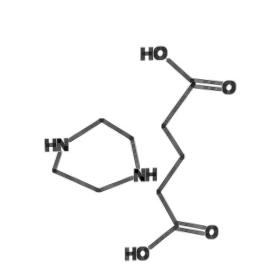 C1CNCCN1.O=C(O)CCCC(=O)O